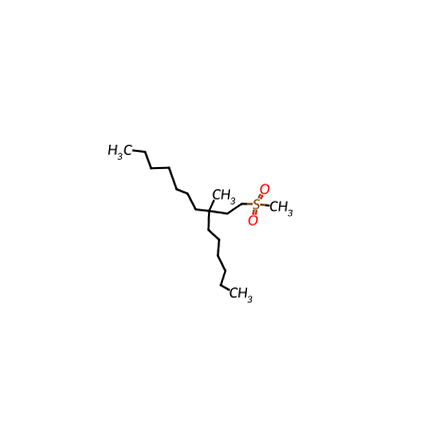 CCCCCCCC(C)(CCCCCC)CCS(C)(=O)=O